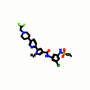 Cn1cc(C(=O)Nc2cc(Cl)cc(NS(C)(=O)=O)c2)cc1-c1ccc(C2CCN(CC(F)F)CC2)cn1